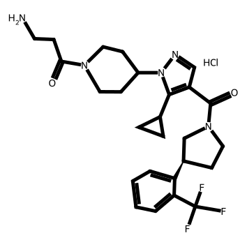 Cl.NCCC(=O)N1CCC(n2ncc(C(=O)N3CC[C@@H](c4ccccc4C(F)(F)F)C3)c2C2CC2)CC1